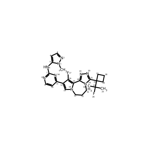 Cn1nccc1Nc1nccc(-c2cn3c(c2F)-c2nnc(C4(C(C)(C)F)CCC4)n2CCC3)n1